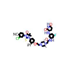 CC(C)c1cc(N2C(=S)N(c3ccc(C#N)c(Cl)c3)C(=O)C2(C)C)ccc1OCCN1C[C@@H](C)N(CC(=O)Nc2cc(F)cc(NC3CCC(=O)NC3=O)c2)[C@@H](C)C1